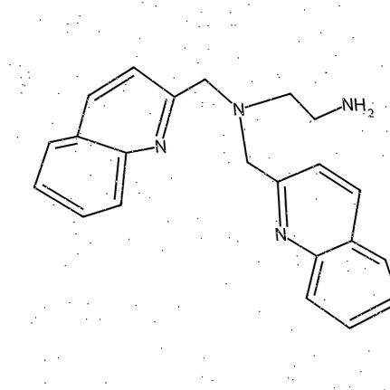 NCCN(Cc1ccc2ccccc2n1)Cc1ccc2ccccc2n1